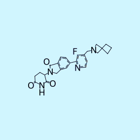 O=C1CCC(N2Cc3cc(-c4nccc(CN5CC6(CCC6)C5)c4F)ccc3C2=O)C(=O)N1